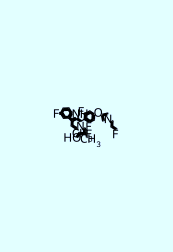 C[C@@H]1Cc2c([nH]c3ccc(F)cc23)[C@@H](c2c(F)cc(OC3CN(CCCF)C3)cc2F)N1CC(C)(F)CO